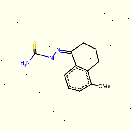 COc1cccc2c1CCC/C2=N/NC(N)=S